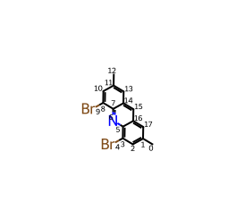 Cc1cc(Br)c2nc3c(Br)cc(C)cc3cc2c1